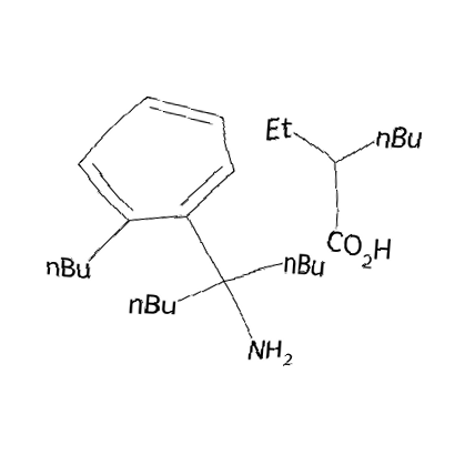 CCCCC(CC)C(=O)O.CCCCc1ccccc1C(N)(CCCC)CCCC